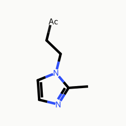 CC(=O)CCn1ccnc1C